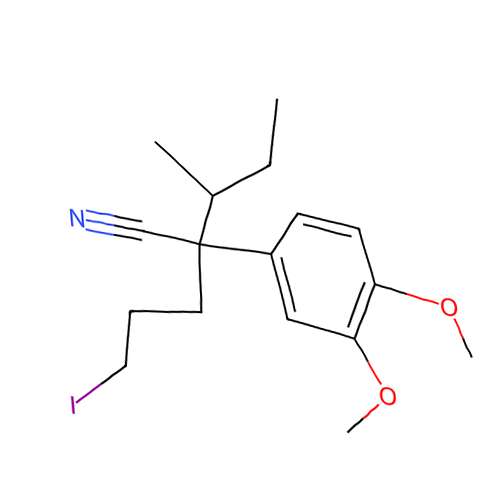 CCC(C)C(C#N)(CCCI)c1ccc(OC)c(OC)c1